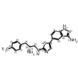 Nc1n[nH]c2ccc(-c3cnc(NC[C@H](N)Cc4ccc(C(F)(F)F)cc4)s3)cc12